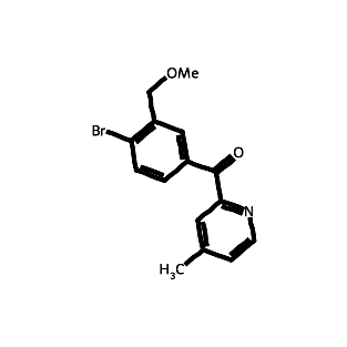 COCc1cc(C(=O)c2cc(C)ccn2)ccc1Br